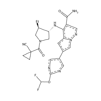 CC[C@@H]1CN(C(=O)C2(C#N)CC2)C[C@H]1Nc1c(C(N)=O)cnn2cc(-c3cnc(OC(F)F)nc3)cc12